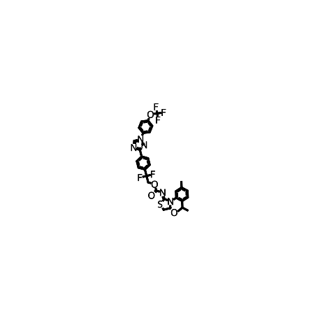 Cc1ccc(C(C)C)c(N2C(=O)CS/C2=N\C(=O)OCC(F)(F)c2ccc(-c3ncn(-c4ccc(OC(F)(F)F)cc4)n3)cc2)c1